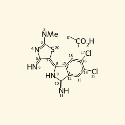 CC(=O)O.CNC1=NC(=N)C(=C2NC(=N)c3cc(Cl)c(Cl)cc32)S1